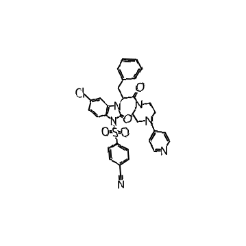 N#Cc1ccc(S(=O)(=O)n2c(=O)n(C(Cc3ccccc3)C(=O)N3CCN(c4ccncc4)CC3)c3cc(Cl)ccc32)cc1